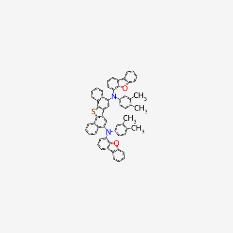 Cc1ccc(N(c2cc3c4cc(N(c5ccc(C)c(C)c5)c5cccc6c5oc5ccccc56)c5ccccc5c4sc3c3ccccc23)c2cccc3c2oc2ccccc23)cc1C